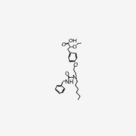 CCCCCCN(CCOc1ccc(CC(OCC)C(=O)O)cc1)C(=O)NCc1ccccc1